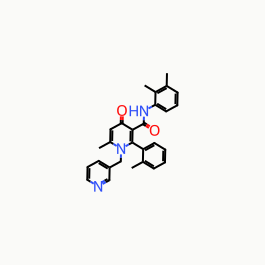 Cc1ccccc1-c1c(C(=O)Nc2cccc(C)c2C)c(=O)cc(C)n1Cc1cccnc1